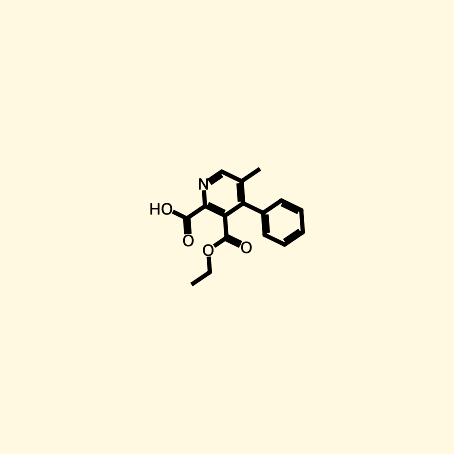 CCOC(=O)c1c(C(=O)O)ncc(C)c1-c1ccccc1